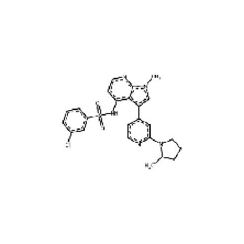 CC1CCCN1c1cc(-c2cn(C)c3nccc(NS(=O)(=O)c4cccc(Cl)c4)c23)ccn1